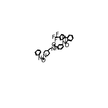 CN(C(=O)N1CCC(CNC(=O)c2cccc(NC(=O)c3ccccc3-c3ccc(C(F)(F)F)cc3)c2)CC1)c1ccccc1